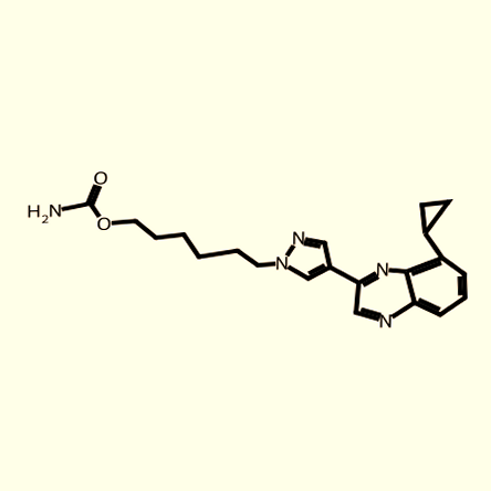 NC(=O)OCCCCCCn1cc(-c2cnc3cccc(C4CC4)c3n2)cn1